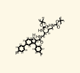 CC(C)(C)OC(=O)NCCC[C@@H](CNC(=O)c1[nH]c2ccc(-c3ccc(F)cc3)cc2c1-c1ccc(F)cc1)NC(=O)OC(C)(C)C